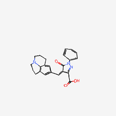 O=C(O)C1=NN(c2ccccc2)C(=O)/C1=C\c1cc2c3c(c1)CCCN3CCC2